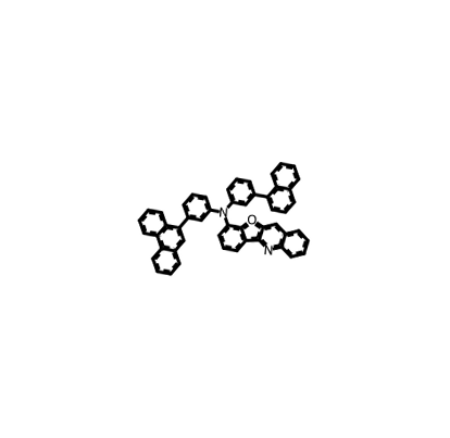 c1cc(-c2cccc3ccccc23)cc(N(c2cccc(-c3cc4ccccc4c4ccccc34)c2)c2cccc3c2oc2cc4ccccc4nc23)c1